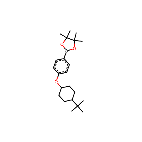 CC(C)(C)C1CCC(Oc2ccc(B3OC(C)(C)C(C)(C)O3)cc2)CC1